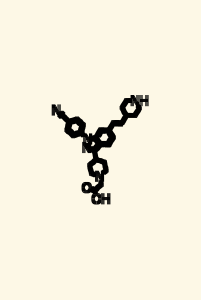 N#Cc1ccc(-n2nc(C3CCN(CC(=O)O)CC3)c3ccc(C=CC4CCNCC4)cc32)cc1